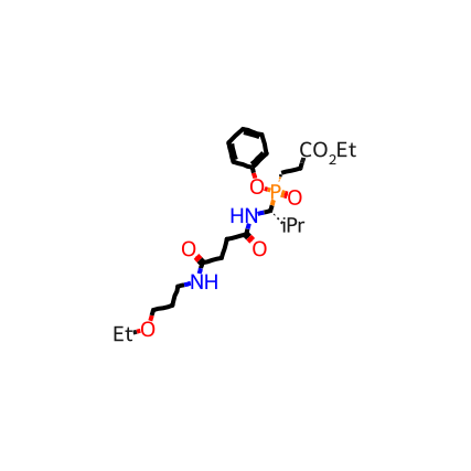 CCOCCCNC(=O)CCC(=O)N[C@@H](C(C)C)[P@@](=O)(CCC(=O)OCC)Oc1ccccc1